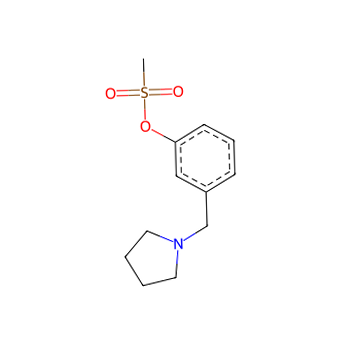 CS(=O)(=O)Oc1cccc(CN2CCCC2)c1